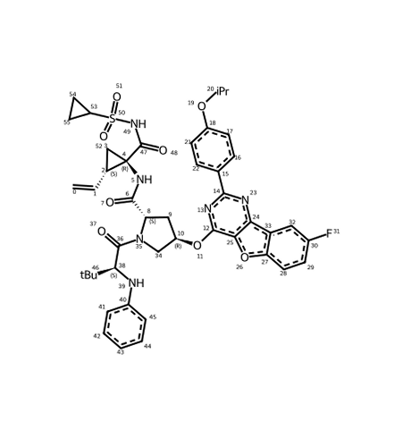 C=C[C@@H]1C[C@]1(NC(=O)[C@@H]1C[C@@H](Oc2nc(-c3ccc(OC(C)C)cc3)nc3c2oc2ccc(F)cc23)CN1C(=O)[C@@H](Nc1ccccc1)C(C)(C)C)C(=O)NS(=O)(=O)C1CC1